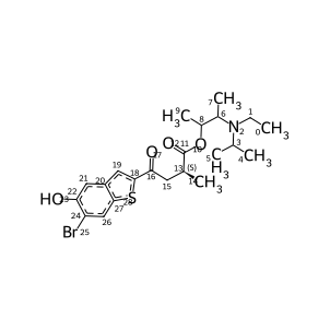 CCN(C(C)C)C(C)C(C)OC(=O)[C@@H](C)CC(=O)c1cc2cc(O)c(Br)cc2s1